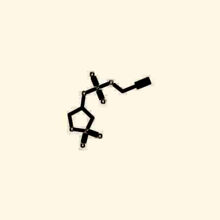 C#CCOS(=O)(=O)OC1COS(=O)(=O)C1